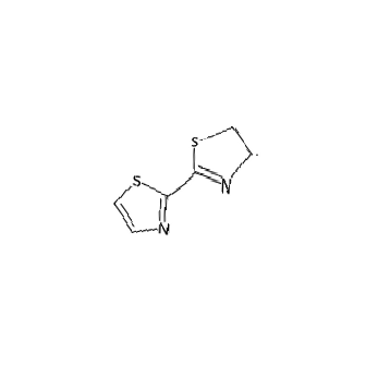 [CH]1CSC(c2nccs2)=N1